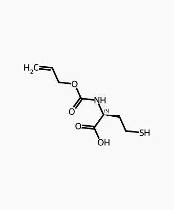 C=CCOC(=O)N[C@@H](CCS)C(=O)O